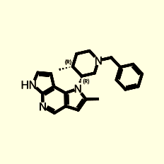 Cc1cc2cnc3[nH]ccc3c2n1[C@H]1CN(Cc2ccccc2)CC[C@H]1C